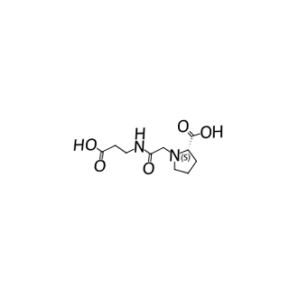 O=C(O)CCNC(=O)CN1CCC[C@H]1C(=O)O